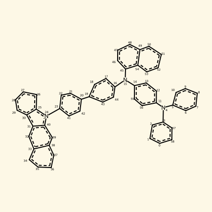 c1ccc(N(c2ccccc2)c2ccc(N(c3ccc(-c4ccc(-n5c6ccccc6c6cc7ccccc7cc65)cc4)cc3)c3cccc4ccccc34)cc2)cc1